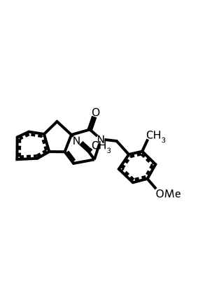 COc1ccc(CN2C(=O)C34Cc5ccccc5C3=CC2C(C)=N4)c(C)c1